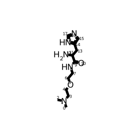 CN(C)CCOCCNC(=O)C(N)Cc1cnc[nH]1